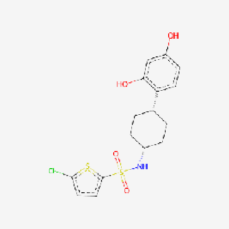 O=S(=O)(N[C@H]1CC[C@@H](c2ccc(O)cc2O)CC1)c1ccc(Cl)s1